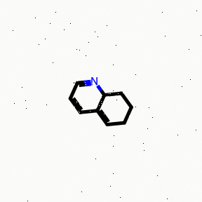 [C]1=NC2CCCC=C2C=C1